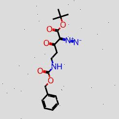 CC(C)(C)OC(=O)C(=[N+]=[N-])C(=O)CCNC(=O)OCc1ccccc1